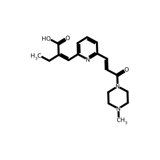 CCC(=Cc1cccc(C=CC(=O)N2CCN(C)CC2)n1)C(=O)O